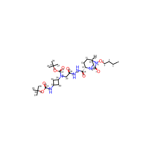 CCCCON1C(=O)N2C[C@@H]1CC[C@H]2C(=O)NNC(=O)CN(C(=O)OC(C)(C)C)C1CC(NC(=O)OC(C)(C)C)C1